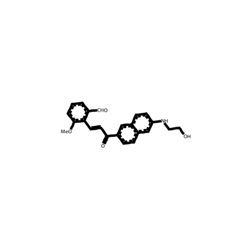 COc1cccc(C=O)c1C=CC(=O)c1ccc2cc(NCCO)ccc2c1